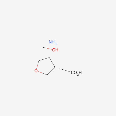 C1CCOC1.CC(=O)O.CO.N